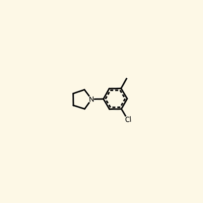 Cc1cc(Cl)cc(N2CCCC2)c1